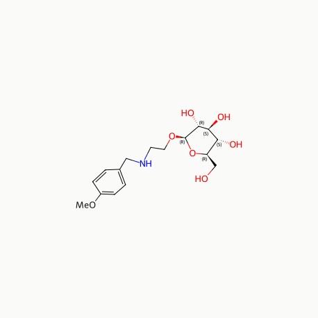 COc1ccc(CNCCO[C@@H]2O[C@H](CO)[C@@H](O)[C@H](O)[C@H]2O)cc1